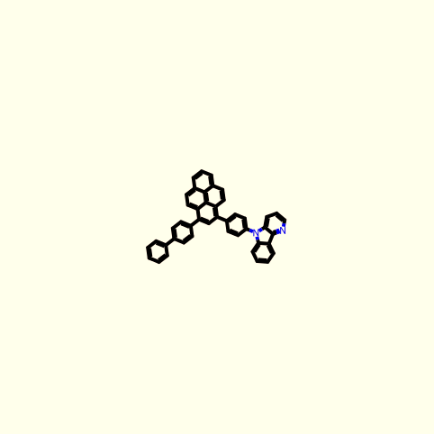 c1ccc(-c2ccc(-c3cc(-c4ccc(-n5c6ccccc6c6ncccc65)cc4)c4ccc5cccc6ccc3c4c65)cc2)cc1